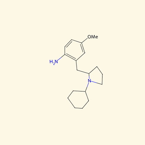 COc1ccc(N)c(CC2CCCN2C2CCCCC2)c1